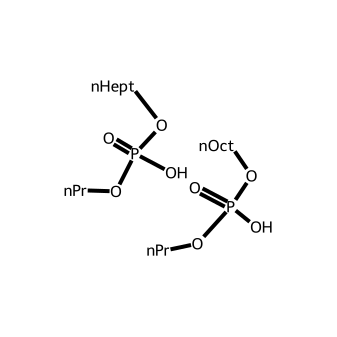 CCCCCCCCOP(=O)(O)OCCC.CCCCCCCOP(=O)(O)OCCC